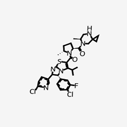 CC(C)C1=C(C(=O)N2[C@H](C)CC[C@H]2C(=O)N2CC3(CC3)NC[C@@H]2C)SC2=NC(c3ccc(Cl)nc3)[C@@H](c3ccc(Cl)c(F)c3)N21